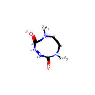 CN1CCN(C)C(=O)/N=N\C1=O